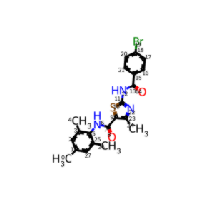 Cc1cc(C)c(NC(=O)c2sc(NC(=O)c3ccc(Br)cc3)nc2C)c(C)c1